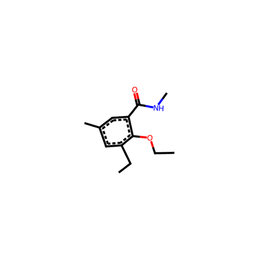 CCOc1c(CC)cc(C)cc1C(=O)NC